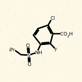 CC(C)CS(=O)(=O)Nc1ccc(Cl)c(C(=O)O)c1F